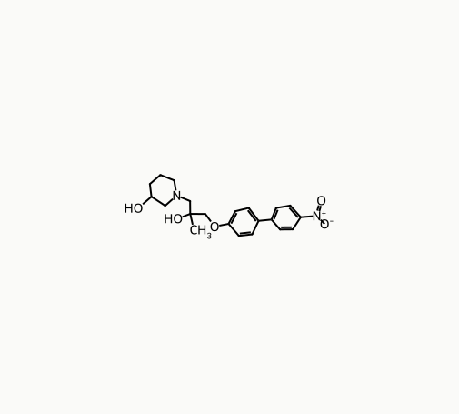 CC(O)(COc1ccc(-c2ccc([N+](=O)[O-])cc2)cc1)CN1CCCC(O)C1